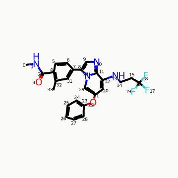 CNC(=O)c1ccc(-c2cnc3c(NCCC(F)(F)F)cc(Oc4ccccc4)cn23)cc1C